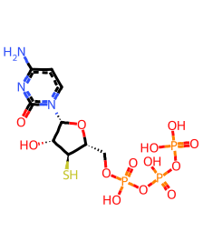 Nc1ccn([C@@H]2O[C@H](COP(=O)(O)OP(=O)(O)OP(=O)(O)O)[C@@H](S)[C@@H]2O)c(=O)n1